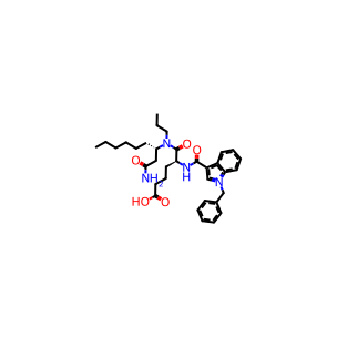 CCCCCC[C@@H](CC(N)=O)N(CCC)C(=O)[C@H](CCCC(=O)O)NC(=O)c1cn(Cc2ccccc2)c2ccccc12